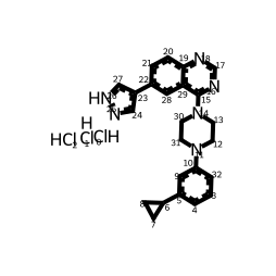 Cl.Cl.Cl.c1cc(C2CC2)cc(N2CCN(c3ncnc4ccc(-c5cn[nH]c5)cc34)CC2)c1